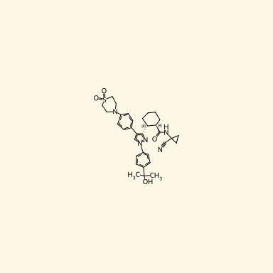 CC(C)(O)c1ccc(-n2cc(-c3ccc(N4CCS(=O)(=O)CC4)cc3)c([C@@H]3CCCC[C@H]3C(=O)NC3(C#N)CC3)n2)cc1